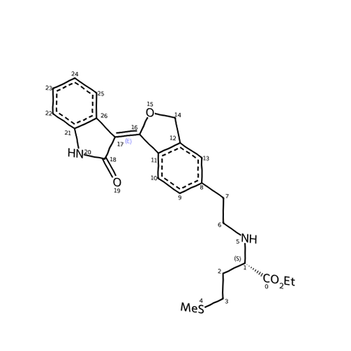 CCOC(=O)[C@H](CCSC)NCCc1ccc2c(c1)CO/C2=C1/C(=O)Nc2ccccc21